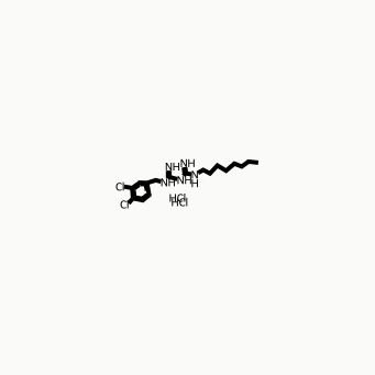 CCCCCCCCNC(=N)NC(=N)NCc1ccc(Cl)c(Cl)c1.Cl.Cl